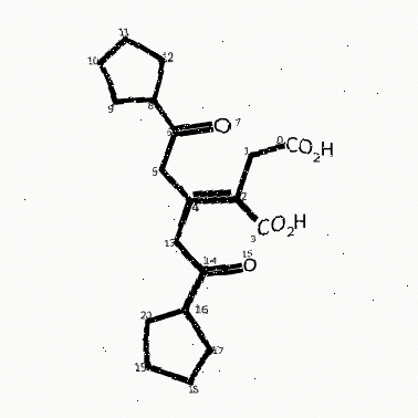 O=C(O)CC(C(=O)O)=C(CC(=O)C1CCCC1)CC(=O)C1CCCC1